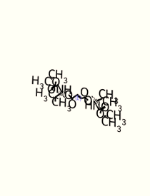 CC(C)OC(=O)N[C@H](COC(=O)/C=C/C(=O)OC[C@@H](NC(=O)OC(C)C)C(C)C)C(C)C